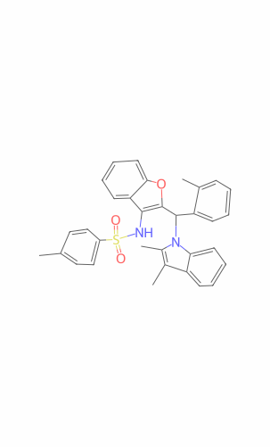 Cc1ccc(S(=O)(=O)Nc2c(C(c3ccccc3C)n3c(C)c(C)c4ccccc43)oc3ccccc23)cc1